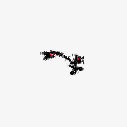 CC1OC(OC2C(NC(=O)c3cc(O)nc(O)n3)CC(C(=O)NCCNC(=O)COCCOCC(=O)Nc3ccc(-c4ccc(C(=O)Nc5ccc(S(=O)(=O)O)c6cc(S(=O)(=O)O)cc(S(=O)(=O)O)c56)cc4)cc3)CC2OC2OC(CO)C(O)C(O[C@@H](CC3CCCCC3)C(=O)O)C2OC(=O)c2ccccc2)C(O)C(O)C1O